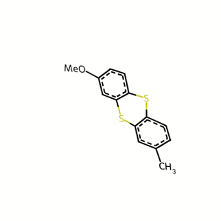 COc1ccc2c(c1)Sc1cc(C)ccc1S2